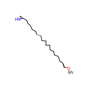 CCCOCCCCCCCCCCCCCCCCCCC1CN1